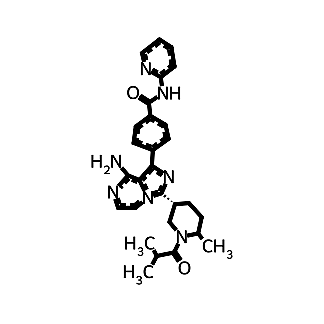 CC(C)C(=O)N1C[C@H](c2nc(-c3ccc(C(=O)Nc4ccccn4)cc3)c3c(N)nccn23)CCC1C